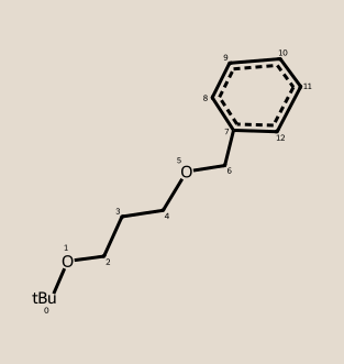 CC(C)(C)OCCCOCc1ccccc1